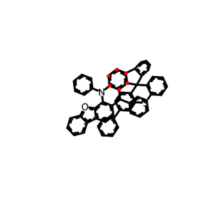 c1ccc(-c2ccc3c(c2)Sc2ccccc2C32c3ccccc3-c3ccc(N(c4ccccc4)c4c(C(c5ccccc5)c5ccccc5)ccc5c4oc4ccccc45)cc32)cc1